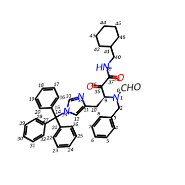 O=CN(Cc1ccccc1)[C@@H](Cc1cn(C(c2ccccc2)(c2ccccc2)c2ccccc2)cn1)C(=O)C(=O)NCC1CCCCC1